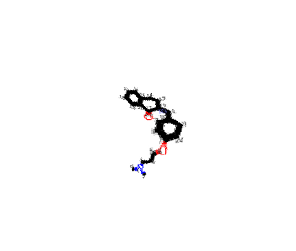 CN(C)CCCOc1ccc(/C=C2/CCc3ccccc3C2=O)cc1